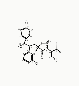 C=CCC(C)(CC(c1cccc(Cl)c1)C(O)c1ccc(Cl)cc1)C(=O)NC(CO)C(C)C